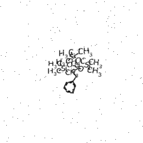 C[Si](C)(C)O[Si](CCc1ccccc1)(O[Si](C)(C)C)O[Si](C)(C)C